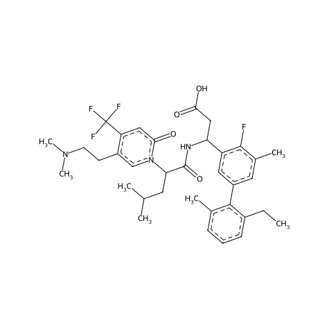 CCc1cccc(C)c1-c1cc(C)c(F)c(C(CC(=O)O)NC(=O)C(CC(C)C)n2cc(CCN(C)C)c(C(F)(F)F)cc2=O)c1